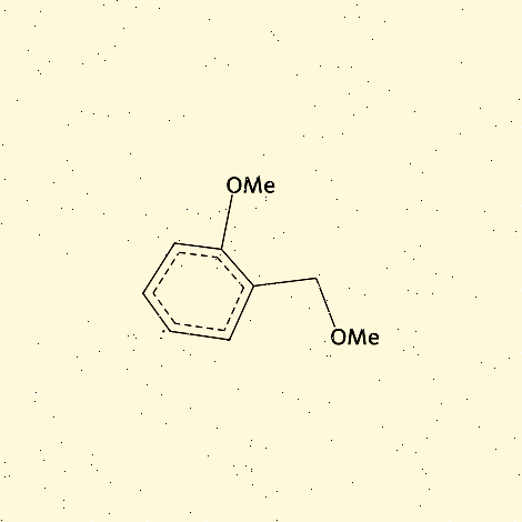 COCc1c[c]ccc1OC